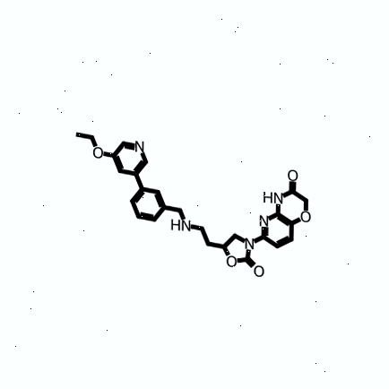 CCOc1cncc(-c2cccc(CNCCC3CN(c4ccc5c(n4)NC(=O)CO5)C(=O)O3)c2)c1